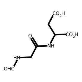 O=CNCC(=O)NC(CC(=O)O)C(=O)O